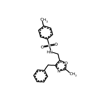 Cc1ccc(S(=O)(=O)NCc2oc(C)nc2Cc2ccccc2)cc1